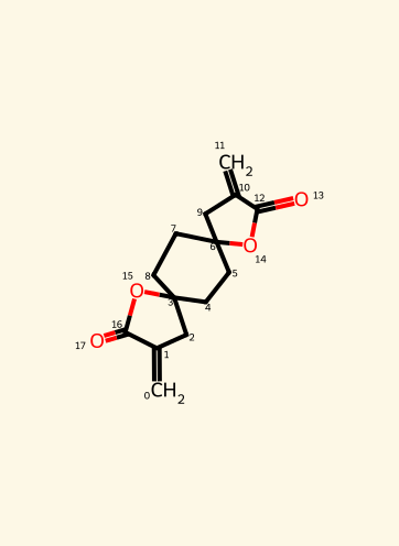 C=C1CC2(CCC3(CC2)CC(=C)C(=O)O3)OC1=O